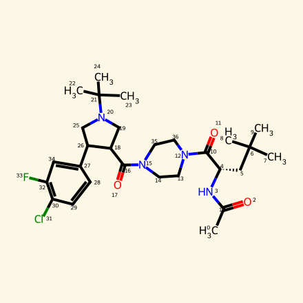 CC(=O)N[C@@H](CC(C)(C)C)C(=O)N1CCN(C(=O)C2CN(C(C)(C)C)CC2c2ccc(Cl)c(F)c2)CC1